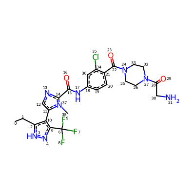 CCc1[nH]nc(C(F)(F)F)c1-c1cnc(C(=O)Nc2ccc(C(=O)N3CCN(C(=O)CN)CC3)c(Cl)c2)n1C